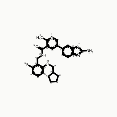 Cc1ncc(-c2ccc3nc(N)sc3c2)cc1C(=O)NCc1c(F)cccc1OCC1CCCC1